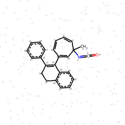 CC1(N=C=O)C=CC=CC(C2=C(c3ccccc3)CCc3ccccc32)=C1